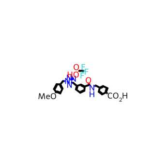 COc1ccc(Cn2nnc(-c3cccc(C(=O)NCc4ccc(C(=O)O)cc4)c3)n2)cc1.O=C(O)C(F)(F)F